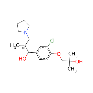 C[C@H](CN1CCCC1)C(O)c1ccc(OCC(C)(C)O)c(Cl)c1